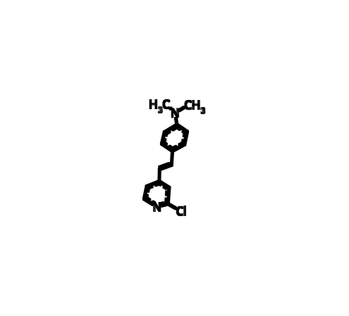 CN(C)c1ccc(C=Cc2ccnc(Cl)c2)cc1